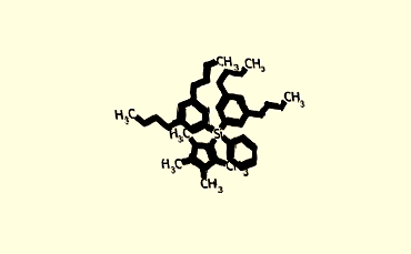 CCCCc1cc(CCCC)cc([Si](C2=C(C)C(C)=C(C)C2C)(c2ccccc2)c2cc(CCCC)cc(CCCC)c2)c1